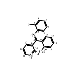 Cc1ccccc1/N=C(/c1cccnc1)c1ccccc1C(F)(F)F